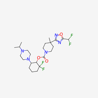 CC(C)N1CCN(C2CCCC(F)(F)C2OC(=O)N2CCC(C)(c3noc(C(F)F)n3)CC2)CC1